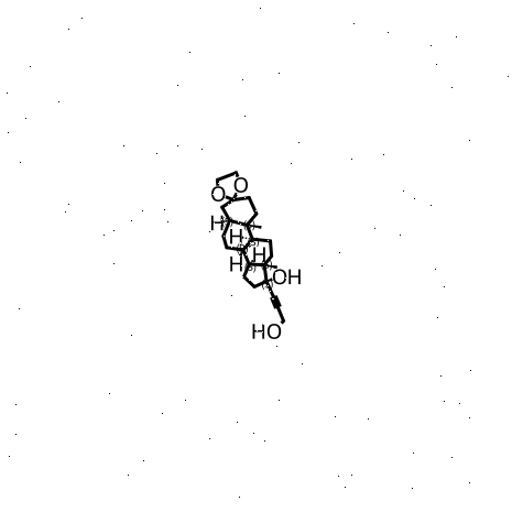 C[C@]12CCC3(C[C@@H]1CC[C@@H]1[C@@H]2CC[C@@]2(C)[C@H]1CC[C@@]2(O)C#CCO)OCCO3